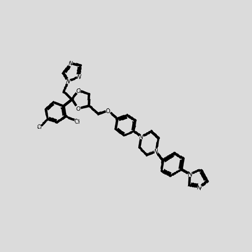 Clc1ccc(C2(Cn3cncn3)OCC(COc3ccc(N4CCN(c5ccc(-n6ccnc6)cc5)CC4)cc3)O2)c(Cl)c1